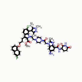 Cc1nn(C)c(C)c1-c1c(Cl)ccc2c(CCCOc3cccc4cc(F)ccc34)c(C(=O)OC(C)(C)C)n(CCN3CCN(C(=O)Cn4c(C)nc5c(C(=O)NC6CCC(=O)NC6=O)cc(N)cc54)CC3)c12